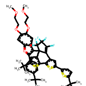 COCCOc1cc2oc(-c3ccc(C(C)(C)C)cc3)c(C34C(=C(F)C(F)(F)C3(F)F)c3cc(-c5ccc(C(C)(C)C)s5)sc3-c3sc(C(C)(C)C)cc34)c2cc1OCCOC